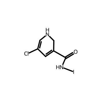 O=C(NI)C1=CC(Cl)=CNC1